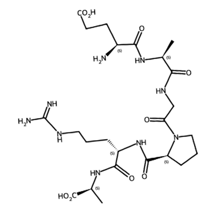 C[C@H](NC(=O)[C@H](CCCNC(=N)N)NC(=O)[C@@H]1CCCN1C(=O)CNC(=O)[C@H](C)NC(=O)[C@@H](N)CCC(=O)O)C(=O)O